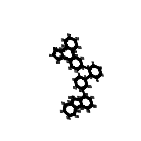 c1cc(-c2ccccc2-c2ccc3c(c2)c2ccccc2c2nccn32)cc(-c2cccc3c2sc2ccccc23)c1